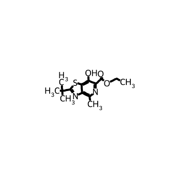 CCOC(=O)c1nc(C)c2nc(C(C)(C)C)sc2c1O